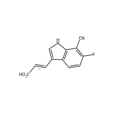 N#Cc1c(F)ccc2c(/C=C/C(=O)O)c[nH]c12